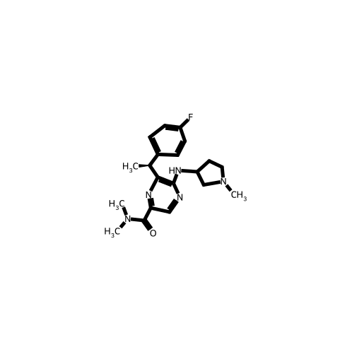 C[C@@H](c1ccc(F)cc1)c1nc(C(=O)N(C)C)cnc1NC1CCN(C)C1